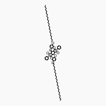 CCCCCCCCCCCCCCCCCCCCCCCCOc1ccc(Oc2c3c(=O)n(-c4ccccc4)c(=O)c3c(Oc3ccc(OCCCCCCCCCCCCCCCCCCCCCCCC)cc3)c3c(=O)n(-c4ccccc4)c(=O)c23)cc1